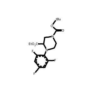 CCOC(=O)C1CN(C(=O)OC(C)(C)C)CCN1c1c(F)cc(F)cc1F